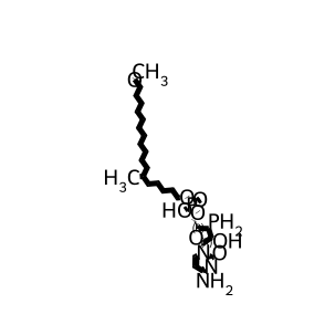 COCCCCCCCCCCCC(C)CCCCCOP(=O)(O)OC[C@H]1O[C@@H](n2ccc(N)nc2=O)C(O)C1P